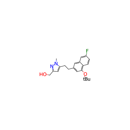 Cn1nc(CO)cc1CCc1cc(OC(C)(C)C)c2ccc(F)cc2c1